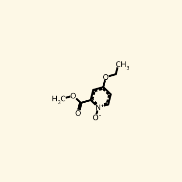 CCOc1cc[n+]([O-])c(C(=O)OC)c1